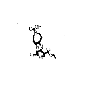 CCOC(=O)c1cnc(Cl)cc1N[C@H]1CCCN(C(=O)O)CC1